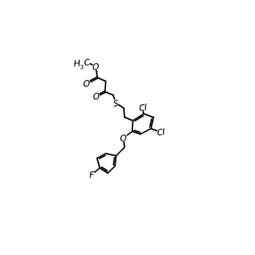 COC(=O)CC(=O)CSCCc1c(Cl)cc(Cl)cc1OCc1ccc(F)cc1